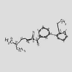 CCc1ncccc1-c1cccc(C(=O)NCCN(C)C)c1